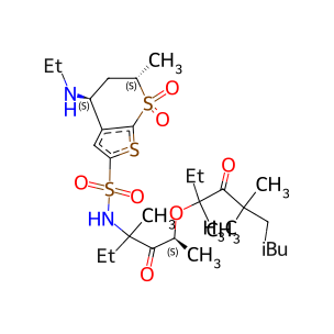 CCN[C@H]1C[C@H](C)S(=O)(=O)c2sc(S(=O)(=O)NC(C)(CC)C(=O)[C@H](C)OC(C)(CC)C(=O)C(C)(C)CC(C)CC)cc21